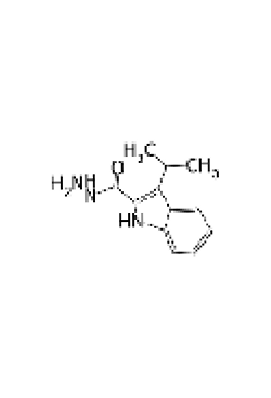 CC(C)c1c(C(=O)NN)[nH]c2ccccc12